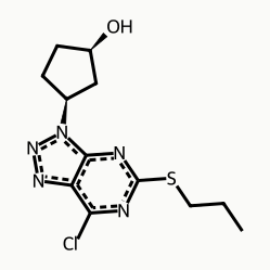 CCCSc1nc(Cl)c2nnn([C@H]3CC[C@@H](O)C3)c2n1